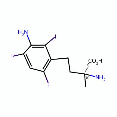 C[C@](N)(CCc1c(I)cc(I)c(N)c1I)C(=O)O